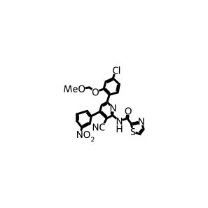 COCOc1cc(Cl)ccc1-c1cc(-c2cccc([N+](=O)[O-])c2)c(C#N)c(NC(=O)c2nccs2)n1